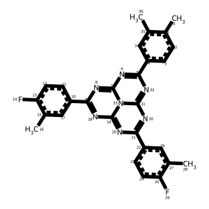 Cc1ccc(C2=NC3=NC(c4ccc(F)c(C)c4)=NC4=NC(c5ccc(F)c(C)c5)=NC(=N2)N34)cc1C